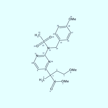 COCCC(C)(C(=O)OC)c1ccnc(N(Cc2ccc(OC)cc2)S(C)(=O)=O)n1